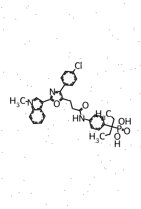 CCC(CC)(c1ccc(NC(=O)CCc2oc(-c3cn(C)c4ccccc34)nc2-c2ccc(Cl)cc2)cc1)P(=O)(O)O